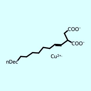 CCCCCCCCCCCCCCCCC=CC(CC(=O)[O-])C(=O)[O-].[Cu+2]